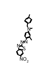 Cc1ccc(CN(C)c2ccc(N=Nc3nc4ccc([N+](=O)[O-])cc4s3)c(C)c2)cc1